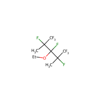 CCOC(F)(C(C)(F)C(F)(F)F)C(C)(F)C(F)(F)F